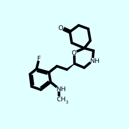 CNc1cccc(F)c1CC[C@@H]1CNCC2(CCCC(=O)C2)O1